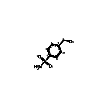 NS(=O)(=O)c1ccc(C[O])cc1